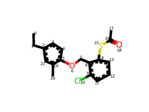 CCc1ccc(OCc2c(Cl)cccc2SC(C)=O)c(C)c1